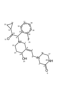 O=C1CN(CC=C2CN(C(C(=O)C3CC3)c3ccccc3F)CCC2O)CCN1